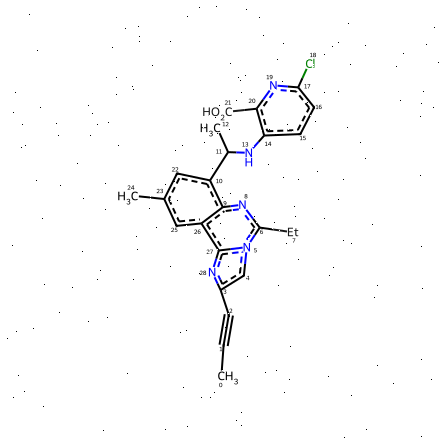 CC#Cc1cn2c(CC)nc3c(C(C)Nc4ccc(Cl)nc4C(=O)O)cc(C)cc3c2n1